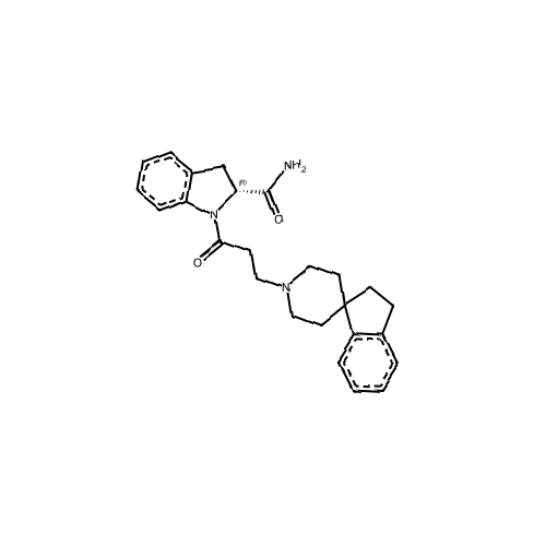 NC(=O)[C@H]1Cc2ccccc2N1C(=O)CCN1CCC2(CCc3ccccc32)CC1